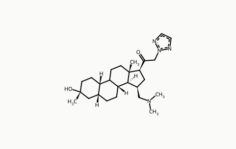 CN(C)C[C@@H]1C[C@H](C(=O)Cn2nccn2)[C@@]2(C)CCC3[C@H]4CC[C@@](C)(O)C[C@H]4CC[C@H]3[C@H]12